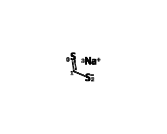 S=C[S-].[Na+]